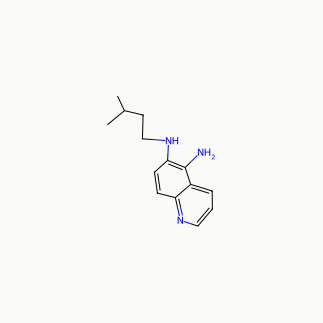 CC(C)CCNc1ccc2ncccc2c1N